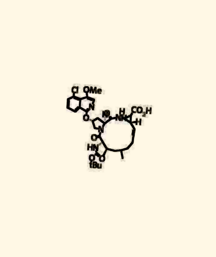 COc1cnc(O[C@@H]2C[C@H]3C(=O)N[C@H]4C(C(=O)O)[C@@H]4/C=C\CCC(C)C[C@@H](C)[C@H](NC(=O)OC(C)(C)C)C(=O)N3C2)c2cccc(Cl)c12